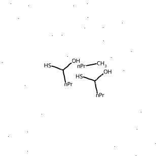 CCCC.CCCC(O)S.CCCC(O)S